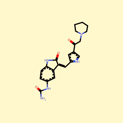 NC(=O)Nc1ccc2c(c1)/C(=C/c1cc(C(=O)CN3CCCCC3)c[nH]1)C(=O)N2